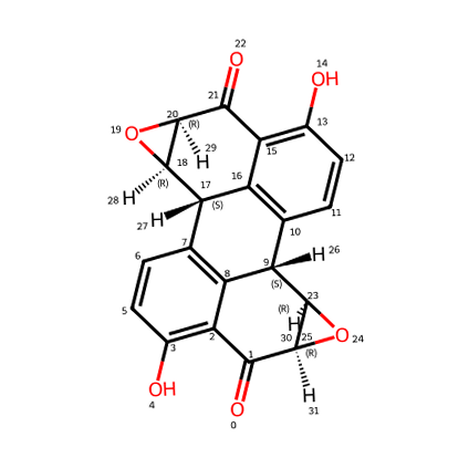 O=C1c2c(O)ccc3c2[C@H](c2ccc(O)c4c2[C@H]3[C@H]2O[C@H]2C4=O)[C@H]2O[C@@H]12